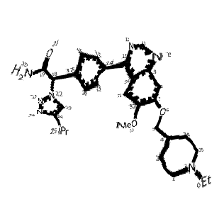 CCN1CCC(COc2cc3ncnc(-c4ccc(C(C(N)=O)n5cc(C(C)C)nn5)cc4)c3cc2OC)CC1